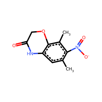 Cc1cc2c(c(C)c1[N+](=O)[O-])OCC(=O)N2